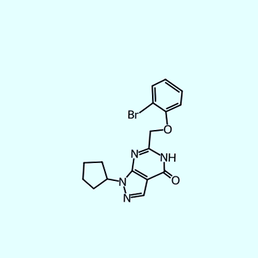 O=c1[nH]c(COc2ccccc2Br)nc2c1cnn2C1CCCC1